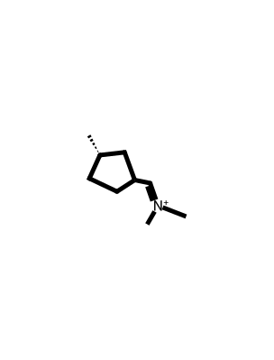 C[C@H]1CCC(C=[N+](C)C)C1